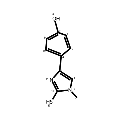 Cn1cc(-c2ccc(O)cc2)nc1S